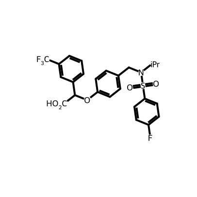 CC(C)N(Cc1ccc(OC(C(=O)O)c2cccc(C(F)(F)F)c2)cc1)S(=O)(=O)c1ccc(F)cc1